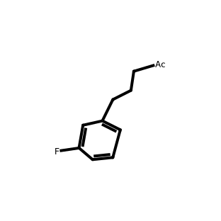 CC(=O)CCCc1cccc(F)c1